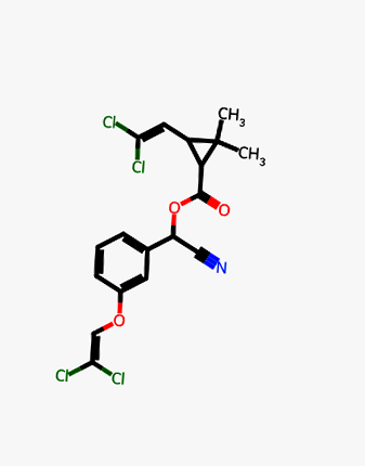 CC1(C)C(C=C(Cl)Cl)C1C(=O)OC(C#N)c1cccc(OC=C(Cl)Cl)c1